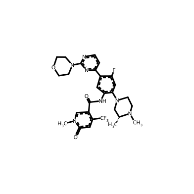 C[C@@H]1CN(c2cc(F)c(-c3ccnc(N4CCOCC4)n3)cc2NC(=O)c2cn(C)c(=O)cc2C(F)(F)F)CCN1C